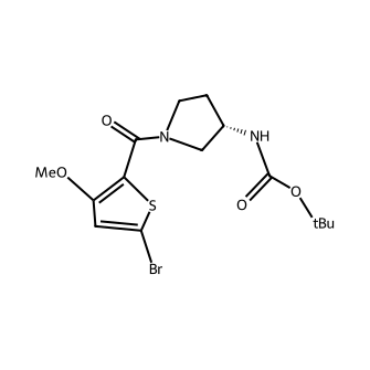 COc1cc(Br)sc1C(=O)N1CC[C@H](NC(=O)OC(C)(C)C)C1